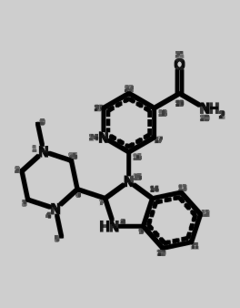 CN1CCN(C)C(C2Nc3ccccc3N2c2cc(C(N)=O)ccn2)C1